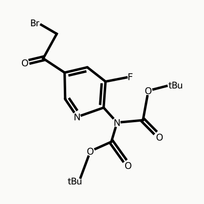 CC(C)(C)OC(=O)N(C(=O)OC(C)(C)C)c1ncc(C(=O)CBr)cc1F